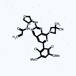 C=CC(=O)N[C@H]1COC[C@H]1Nc1ncc2cc(-c3c(Cl)c(OC)cc(OC)c3Cl)nc(N3CC(C)(C#N)C3)c2n1